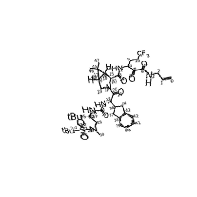 C=CCNC(=O)C(=O)C(CCC(F)(F)F)NC(=O)[C@@H]1[C@@H]2[C@H](CN1C(=O)[C@@H](NC(=O)N[C@H](CN(C)S(=O)(=O)C(C)(C)C)C(C)(C)C)C1Cc3ccccc3C1)C2(C)C